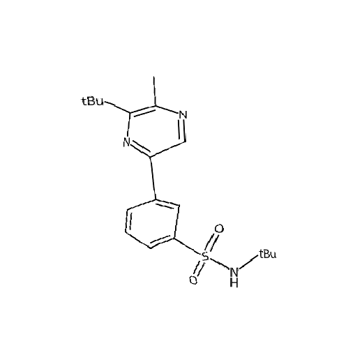 Cc1ncc(-c2cccc(S(=O)(=O)NC(C)(C)C)c2)nc1C(C)(C)C